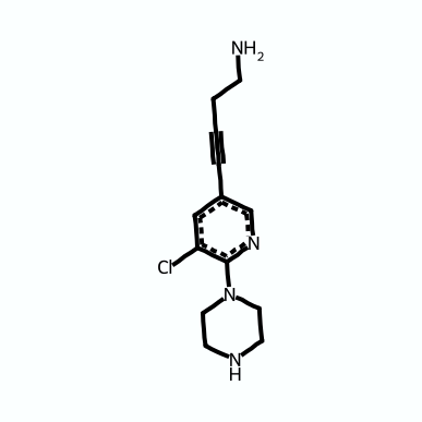 NCCC#Cc1cnc(N2CCNCC2)c(Cl)c1